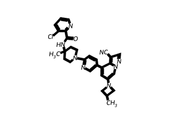 CC1CN(c2cc(-c3ccc(N4CCC(C)(NC(=O)c5ncccc5Cl)CC4)nc3)c3c(C#N)cnn3c2)C1